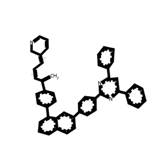 C=C(/C=C\C=C1\C=CC=NC1)c1ccc(-c2cccc3ccc(-c4ccc(-c5nc(-c6ccccc6)cc(-c6ccccc6)n5)cc4)cc23)cc1